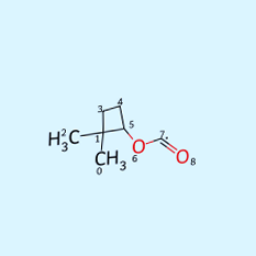 CC1(C)CCC1O[C]=O